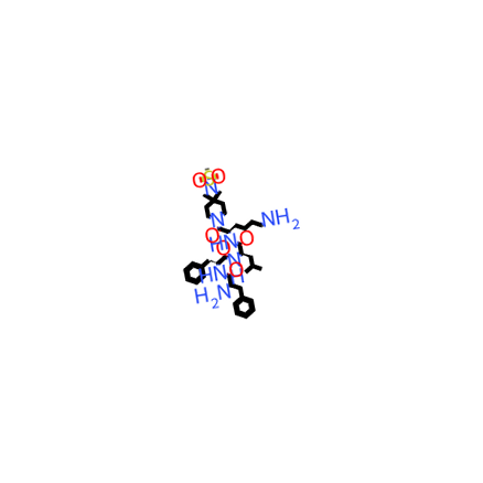 CC(C)C[C@@H](NC(=O)[C@@H](Cc1ccccc1)NC(=O)[C@H](N)Cc1ccccc1)C(=O)N[C@H](CCCCN)C(=O)N1CCC2(CC1)CN(S(C)(=O)=O)C2